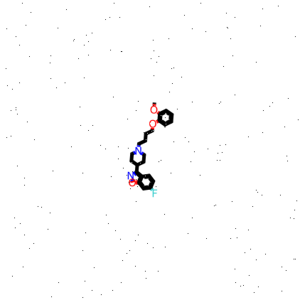 COc1ccc[c]c1OCCCCN1CCC(c2noc3cc(F)ccc23)CC1